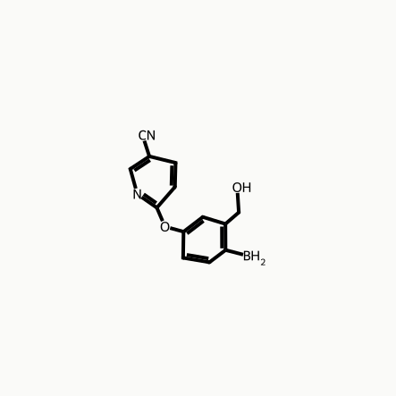 Bc1ccc(Oc2ccc(C#N)cn2)cc1CO